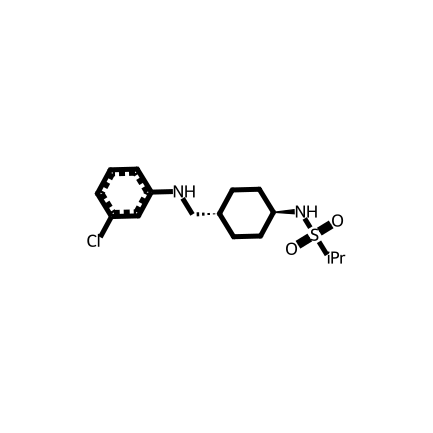 CC(C)S(=O)(=O)N[C@H]1CC[C@H](CNc2cccc(Cl)c2)CC1